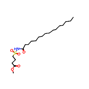 CCCCCCCCCCCCCCCC(=O)NS(=O)(=O)CCCC(=O)OC